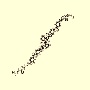 C=CC(=O)OCCCCOC1CCC(C(=O)OC2CCC(OC(=O)Oc3cccc4c3C3(CC4)CCc4cccc(OC(=O)OC5CCC(OC(=O)C6CCC(OCOC(=O)C=C)CC6)CC5)c43)CC2)CC1